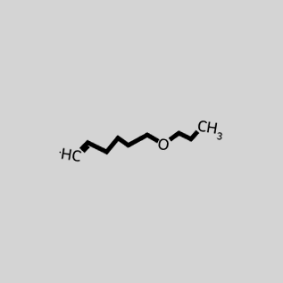 [CH]=CCCCCOCCC